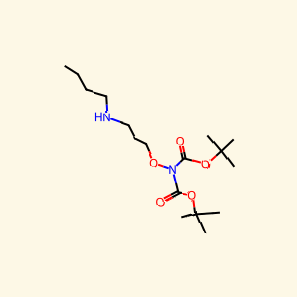 CCCCNCCCON(C(=O)OC(C)(C)C)C(=O)OC(C)(C)C